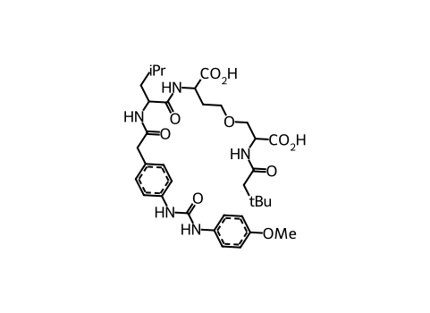 COc1ccc(NC(=O)Nc2ccc(CC(=O)NC(CC(C)C)C(=O)NC(CCOCC(NC(=O)CC(C)(C)C)C(=O)O)C(=O)O)cc2)cc1